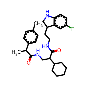 Cc1ccc(C(C)C(=O)NCC(C(=O)NCCC2CNc3ccc(F)cc32)C2CCCCC2)cc1